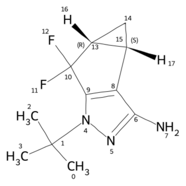 CC(C)(C)n1nc(N)c2c1C(F)(F)[C@@H]1C[C@H]21